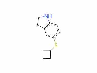 c1cc2c(cc1SC1CCC1)CCN2